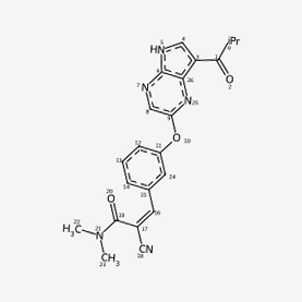 CC(C)C(=O)c1c[nH]c2ncc(Oc3cccc(/C=C(/C#N)C(=O)N(C)C)c3)nc12